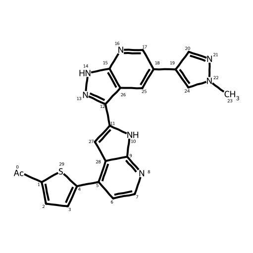 CC(=O)c1ccc(-c2ccnc3[nH]c(-c4n[nH]c5ncc(-c6cnn(C)c6)cc45)cc23)s1